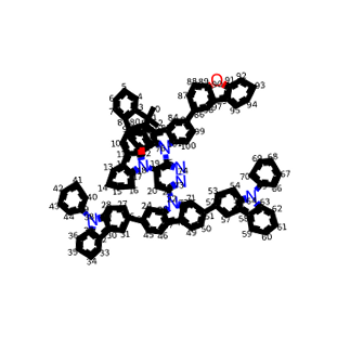 CC1(C)c2ccccc2-c2cc3c4ccccc4n(-c4cc(-n5c6cc(-c7ccc8c(c7)c7ccccc7n8-c7ccccc7)ccc6c6ccc(-c7ccc8c(c7)c7ccccc7n8-c7ccccc7)cc65)nnc4-n4c5ccccc5c5cc(-c6ccc7oc8ccccc8c7c6)ccc54)c3cc21